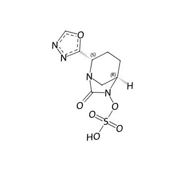 O=C1N2C[C@@H](CC[C@H]2c2nnco2)N1OS(=O)(=O)O